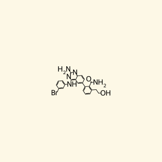 NC(=O)c1c(CCO)cccc1-c1ccc2nc(N)nc(Nc3cccc(Br)c3)c2c1